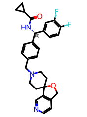 O=C(N[C@@H](c1ccc(CN2CCC3(CC2)OCc2ccncc23)cc1)c1ccc(F)c(F)c1)C1CC1